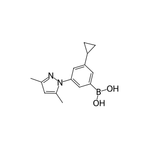 Cc1cc(C)n(-c2cc(B(O)O)cc(C3CC3)c2)n1